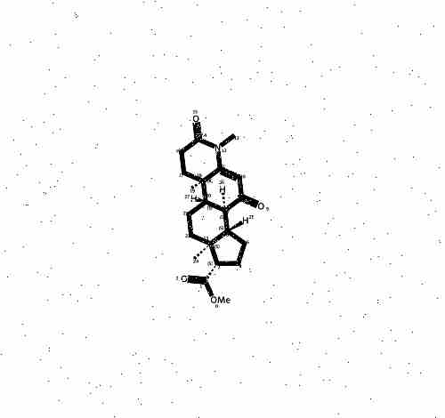 COC(=O)[C@H]1CC[C@H]2[C@@H]3C(=O)C=C4N(C)C(=O)CC[C@]4(C)[C@H]3CC[C@]12C